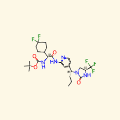 CCC[C@H](c1ccnc(NC(=O)[C@@H](NC(=O)OC(C)(C)C)C2CCC(F)(F)CC2)c1)N1C[C@@H](C(F)(F)F)NC1=O